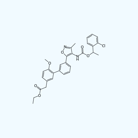 CCOC(=O)Cc1ccc(OC)c(-c2cccc(-c3onc(C)c3NC(=O)OC(C)c3ccccc3Cl)c2)c1